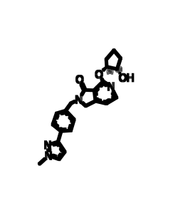 Cn1ccc(-c2ccc(CN3Cc4ccnc(O[C@H]5CCC[C@@H]5O)c4C3=O)cc2)n1